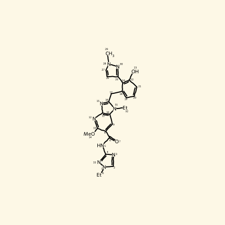 CCn1cnc(NC(=O)c2cc3c(nc2OC)nc(Cc2cccc(O)c2-c2ccn(C)n2)n3CC)n1